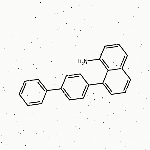 Nc1cccc2cccc(-c3ccc(-c4ccccc4)cc3)c12